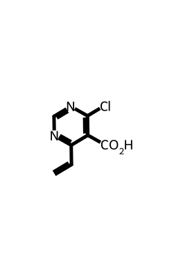 C=Cc1ncnc(Cl)c1C(=O)O